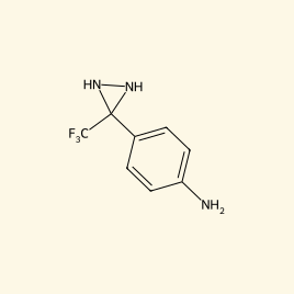 Nc1ccc(C2(C(F)(F)F)NN2)cc1